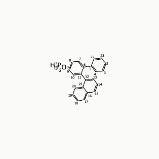 O.P.c1ccc(-c2ccccc2-c2cccc3ccccc23)cc1